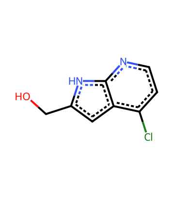 OCc1cc2c(Cl)ccnc2[nH]1